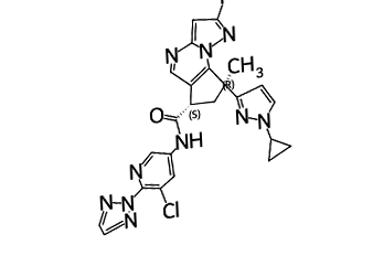 C[C@]1(c2ccn(C3CC3)n2)C[C@H](C(=O)Nc2cnc(-n3nccn3)c(Cl)c2)c2cnc3cc(F)nn3c21